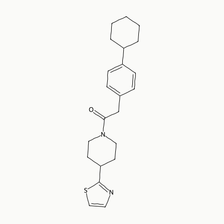 O=C(Cc1ccc(C2CCCCC2)cc1)N1CCC(c2nccs2)CC1